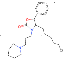 CCCCCCC1C(c2ccccc2)OC(=O)N1CCCN1CCCCC1